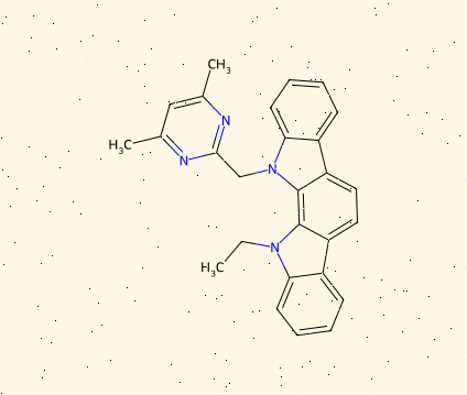 CCn1c2ccccc2c2ccc3c4ccccc4n(Cc4nc(C)cc(C)n4)c3c21